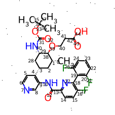 C[C@@H]1C[C@H](c2ccncc2NC(=O)c2ccc(F)c(-c3c(F)cccc3F)n2)C[C@H](NC(=O)OC(C)(C)C)[C@H]1OCCC(=O)O